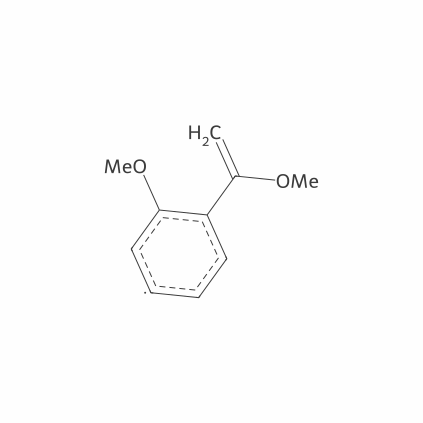 C=C(OC)c1cc[c]cc1OC